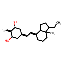 C=C1[C@H](O)CC(=C/C=C2\CCCC3(C)C(CC)CCC23)C[C@H]1O